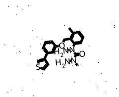 Cc1cccc(N(N)C(=O)N(C)N)c1COc1cccc(-c2ccsc2)c1